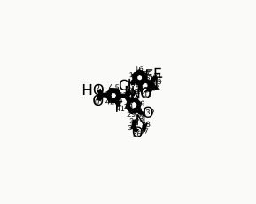 O=C(O)c1ccc(-c2nn(C(=O)c3c(Cl)cccc3C3(C(F)(F)F)CC3)c3c2CCC(C(=O)N2CCOCC2)C3)c(F)c1